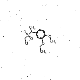 CCOc1cc(C(C)S(=O)(=O)CCl)ccc1OC